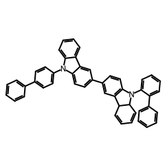 C1=CC2c3cc(-c4ccc5c(c4)c4ccccc4n5-c4ccc(-c5ccccc5)cc4)ccc3N(c3ccccc3-c3ccccc3)C2C=C1